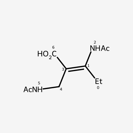 CCC(NC(C)=O)=C(CNC(C)=O)C(=O)O